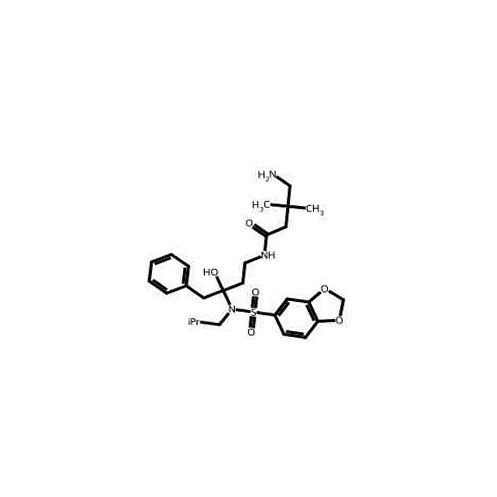 CC(C)CN(C(O)(CCNC(=O)CC(C)(C)CN)Cc1ccccc1)S(=O)(=O)c1ccc2c(c1)OCO2